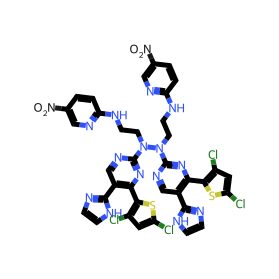 O=[N+]([O-])c1ccc(NCCN(c2ncc(-c3ncc[nH]3)c(-c3sc(Cl)cc3Cl)n2)N(CCNc2ccc([N+](=O)[O-])cn2)c2ncc(-c3ncc[nH]3)c(-c3sc(Cl)cc3Cl)n2)nc1